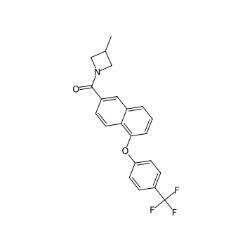 CC1CN(C(=O)c2ccc3c(Oc4ccc(C(F)(F)F)cc4)cccc3c2)C1